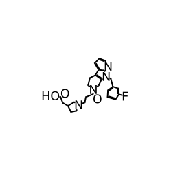 O=C(O)CC1CCN(CCC(=O)N2CCc3c(n(Cc4cccc(F)c4)c4ncccc34)C2)C1